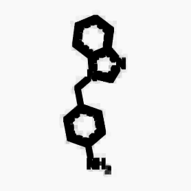 Nc1ccc(Cn2cnc3ccccc32)cc1